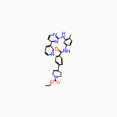 CCOC(=O)N1CCC(c2ccc(C(=O)Nc3ccc(C)c(Nc4nccc(-c5cccnc5)n4)c3)cc2)CC1